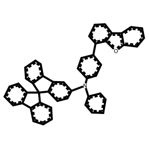 c1ccc(N(c2ccc(-c3cccc4c3oc3ccccc34)cc2)c2ccc3c(c2)-c2ccccc2C32c3ccccc3-c3ccccc32)cc1